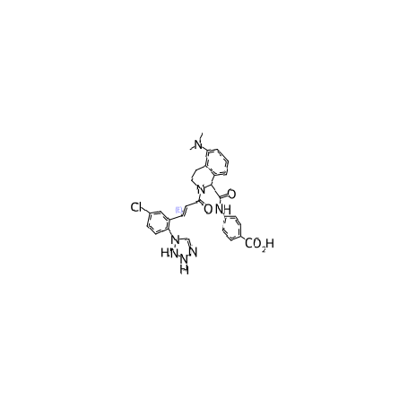 CN(C)c1cccc2c1CCN(C(=O)/C=C/c1cc(Cl)ccc1N1C=NNN1)C2C(=O)Nc1ccc(C(=O)O)cc1